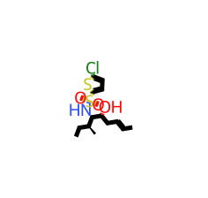 CC=CCC(O)[C@@H](NS(=O)(=O)c1ccc(Cl)s1)[C@@H](C)CC